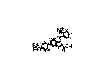 O=C(O)/C=C/c1cc(-c2ccc(OC(F)(F)F)cc2)ccc1OCc1ccccc1C(F)(F)F